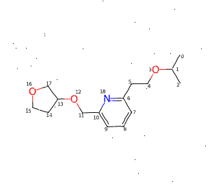 CC(C)OCCc1cccc(COC2CCOC2)n1